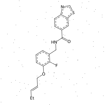 CCC=CCOc1cccc(CNC(=O)c2ccc3ncsc3c2)c1F